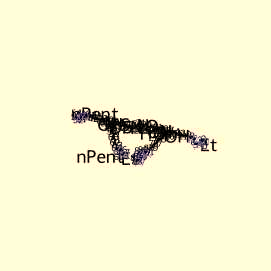 CC/C=C\C/C=C\C/C=C\CCCCCC[C@@H](O)CN(CCCC(=O)OCCN1CCN(CCSSCCCCN(C[C@@H](O)CCCCCC/C=C\C/C=C\CCCCC)C[C@@H](O)CCCCCC/C=C\C/C=C\CCCCC)CC1)C[C@H](O)CCCCCC/C=C\C/C=C\C/C=C\CC